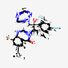 Cc1cc(Br)c2ncn(C(C)C(O)(Cn3cncn3)c3ccc(F)cc3F)c(=O)c2c1